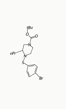 CCCC1CN(C(=O)OC(C)(C)C)CCN1Sc1ccc(Br)cc1